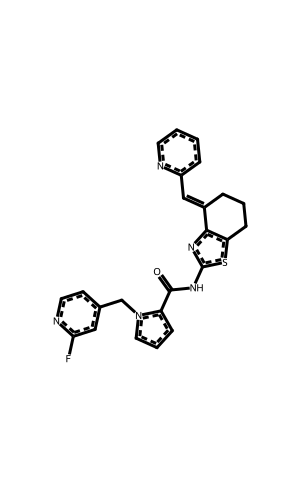 O=C(Nc1nc2c(s1)CCCC2=Cc1ccccn1)c1cccn1Cc1ccnc(F)c1